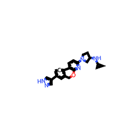 c1cc2c(cc1-c1cn[nH]c1)COc1nc(N3CCC(NC4CC4)C3)ccc1-2